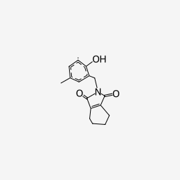 Cc1c[c]c(O)c(CN2C(=O)C3=C(CCCC3)C2=O)c1